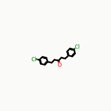 O=C(CCc1ccc(Cl)cc1)CCc1ccc(Cl)cc1